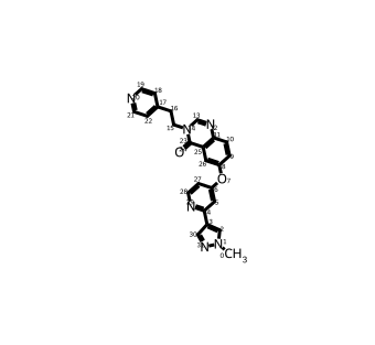 Cn1cc(-c2cc(Oc3ccc4ncn(CCc5ccncc5)c(=O)c4c3)ccn2)cn1